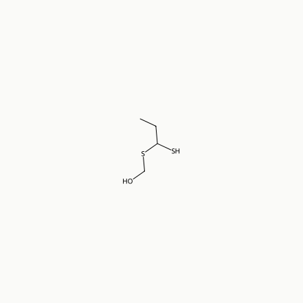 CCC(S)SCO